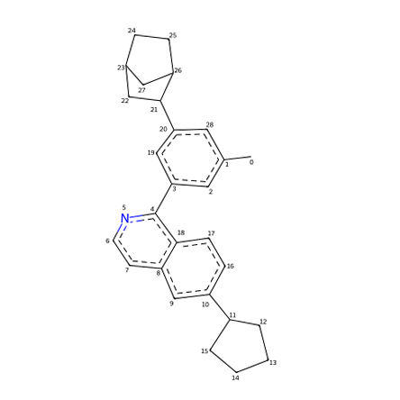 Cc1cc(-c2nccc3cc(C4CCCC4)ccc23)cc(C2CC3CCC2C3)c1